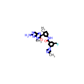 Cc1cn(-c2cc(CF)cc(C(=O)Nc3ccc(C)c(-c4nc5cnc(N)nc5n(C)c4=O)c3)c2)cn1